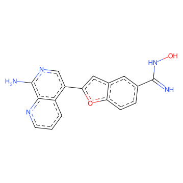 N=C(NO)c1ccc2oc(-c3cnc(N)c4ncccc34)cc2c1